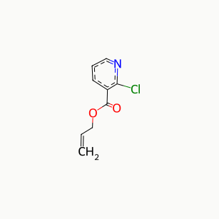 C=CCOC(=O)c1cccnc1Cl